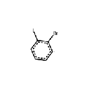 Brc1[c]cccc1I